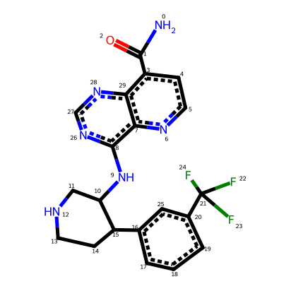 NC(=O)c1ccnc2c(NC3CNCCC3c3cccc(C(F)(F)F)c3)ncnc12